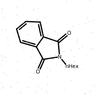 [CH2]CCCCCN1C(=O)c2ccccc2C1=O